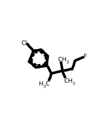 CC(c1ccc(Cl)cc1)C(C)(C)CCF